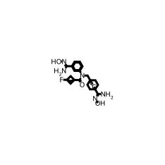 N/C(=N\O)c1cccc(N(CC23CCC(/C(N)=N/O)(CC2)CC3)C(=O)C23CC(F)(C2)C3)c1